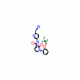 N#CCc1ccc(NC(=O)c2cccn(-c3ccccc3OCC(F)(F)F)c2=O)cn1